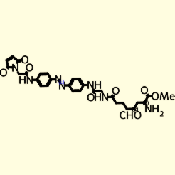 COC(=O)[C@@H](N)C[C@H](C=O)CCCC(=O)NCC(=O)Nc1ccc(/N=N/c2ccc(NC(=O)CN3C(=O)C=CC3=O)cc2)cc1